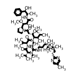 CC[C@@H](C)[C@H]([C@H](CC(=O)N1CCC[C@@H]1[C@@H](OC)[C@H](C)C(=O)N[C@@H](C)[C@H](O)c1ccccc1)OC)N(C)C(=O)[C@H](NC(=O)[C@@H](C(C)C)N(C)C(=O)NCCC[Si](C)(C)O[Si](C)(C)CSc1ncc(C)cn1)C(C)C